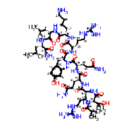 CC(C)C[C@H](NC(=O)[C@H](CC(C)C)NC(=O)[C@H](CCCCN)NC(=O)[C@H](CCCNC(=N)N)NC(=O)[C@H](Cc1ccc(O)cc1)NC(=O)[C@H](CCC(N)=O)NC(=O)[C@H](CCC(N)=O)NC(=O)[C@H](CCCNC(=N)N)NC(=O)[C@@H](NC(=O)C(C)C)[C@@H](C)O)C(N)=O